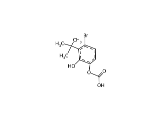 CC(C)(C)c1c(Br)ccc(OC(=O)O)c1O